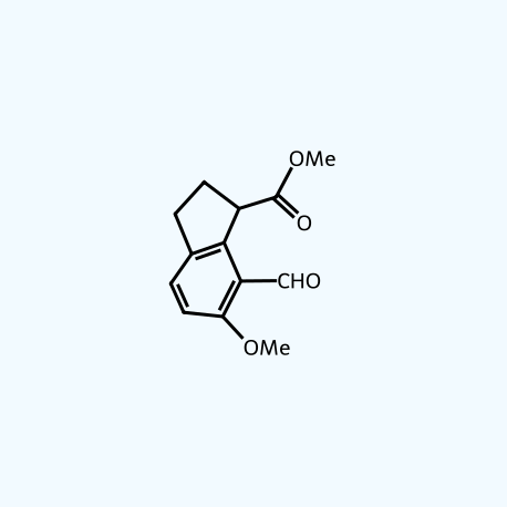 COC(=O)C1CCc2ccc(OC)c(C=O)c21